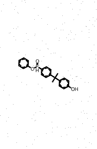 CC(C)(c1ccc(O)cc1)c1ccc([PH](=O)Oc2ccccc2)cc1